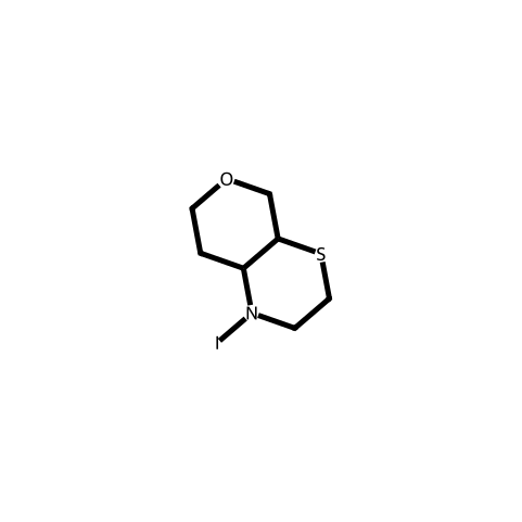 IN1CCSC2COCCC21